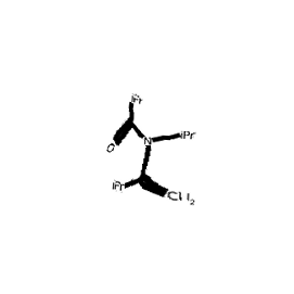 C=C(C(C)C)N(C(=O)C(C)C)C(C)C